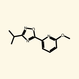 COc1cccc(-c2nc(C(C)C)no2)n1